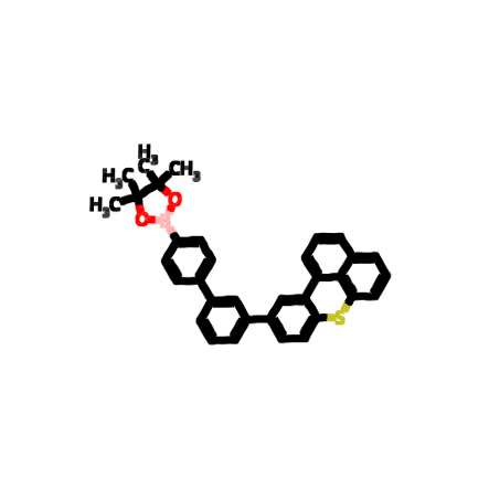 CC1(C)OB(c2ccc(-c3cccc(-c4ccc5c(c4)-c4cccc6cccc(c46)S5)c3)cc2)OC1(C)C